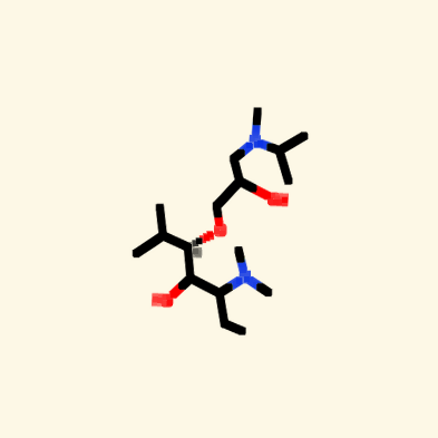 CCC(C(O)[C@@H](OCC(O)CN(C)C(C)C)C(C)C)N(C)C